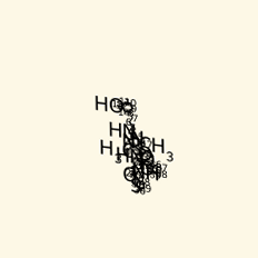 Cc1nc(NCCCc2cccc(O)c2)nc(C)c1C(=O)N[C@@H](CNC(=O)c1cccs1)C(=O)OC1CCCC1